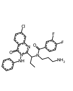 CCC(c1nc2cc(Cl)ccc2c(=O)n1Nc1ccccc1)N(CCCN)C(=O)c1ccc(F)c(F)c1